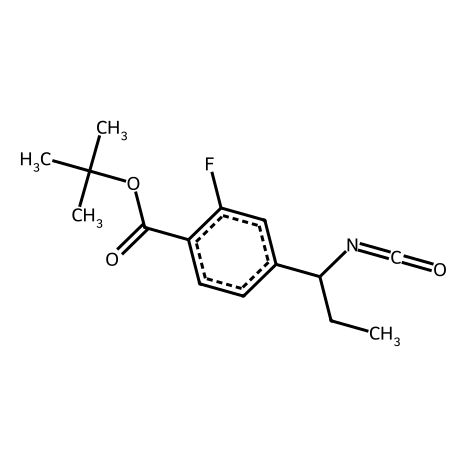 CCC(N=C=O)c1ccc(C(=O)OC(C)(C)C)c(F)c1